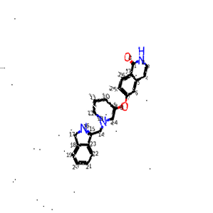 O=c1[nH]ccc2cc(OC3CCCN(CC4=NCc5ccccc54)C3)ccc12